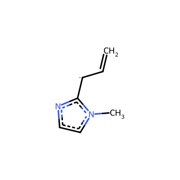 C=C[CH]c1nccn1C